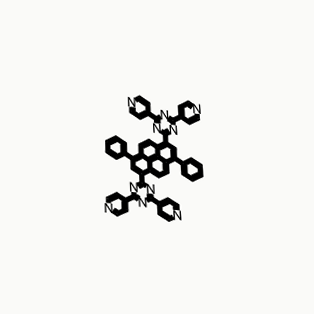 c1ccc(-c2cc(-c3nc(-c4ccncc4)nc(-c4ccncc4)n3)c3ccc4c(-c5ccccc5)cc(-c5nc(-c6ccncc6)nc(-c6ccncc6)n5)c5ccc2c3c45)cc1